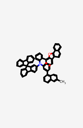 Cc1ccc2c(-c3cccc(N(c4ccc5c(c4)C4(c6ccccc6-c6ccccc64)c4ccccc4-5)c4ccccc4-c4cccc5c4oc4c6ccccc6ccc54)c3)cccc2c1